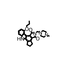 CCCOc1cccc2[nH]c3c4c(c5c(c3c12)C(=O)N(CN1CCN(C)CC1)C5=O)CCC4